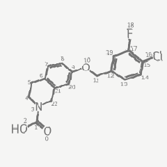 O=C(O)N1CCc2ccc(OCc3ccc(Cl)c(F)c3)cc2C1